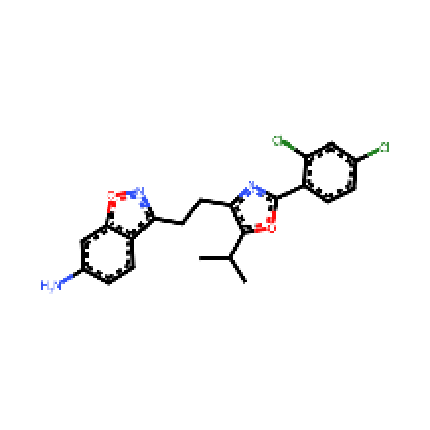 CC(C)c1oc(-c2ccc(Cl)cc2Cl)nc1CCc1noc2cc(N)ccc12